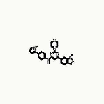 Cn1cccc1-c1ccc(Nc2cc(-c3ccc4cnn(C)c4c3)nc(N3CCOCC3)n2)cc1